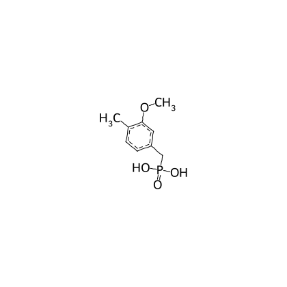 COc1cc(CP(=O)(O)O)ccc1C